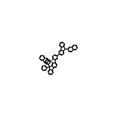 c1ccc(C2(c3ccccc3)c3ccccc3-c3ccc4c5cc(-c6ccc7c(c6)-c6ccccc6C7c6ccc7ccccc7c6)ccc5n(-c5ccc6ccccc6c5)c4c32)cc1